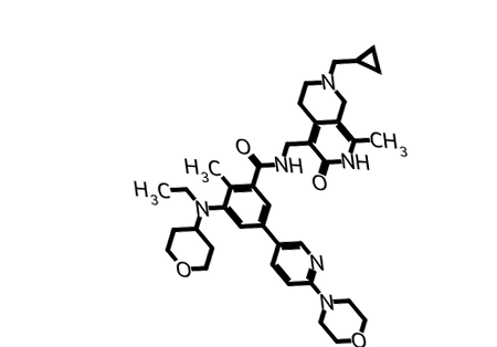 CCN(c1cc(-c2ccc(N3CCOCC3)nc2)cc(C(=O)NCc2c3c(c(C)[nH]c2=O)CN(CC2CC2)CC3)c1C)C1CCOCC1